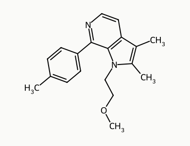 COCCn1c(C)c(C)c2ccnc(-c3ccc(C)cc3)c21